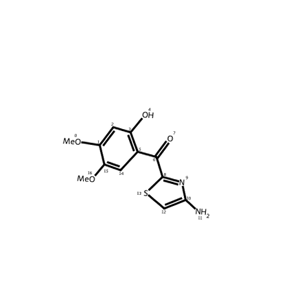 COc1cc(O)c(C(=O)c2nc(N)cs2)cc1OC